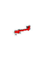 CC[C@@H]1[C@H](F)C(=O)N[C@@H]1COc1nccc2cc(C(=O)NCCOCCOCCOCCOCCNc3cccc4c3C(=O)N(C3CCC(=O)NC3=O)C4=O)c(OC)cc12